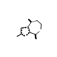 O=C1CCNC(=O)c2[nH]c(Br)cc21